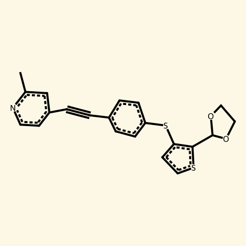 Cc1cc(C#Cc2ccc(Sc3ccsc3C3OCCO3)cc2)ccn1